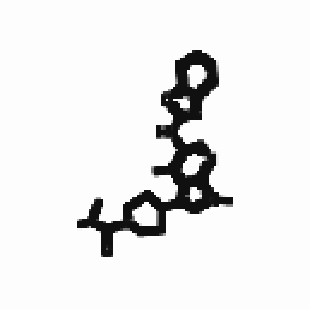 Cc1c(Nc2nc3ccccc3o2)cnc2c1c(C1CCN(C(=O)C(C)C)CC1)cn2C